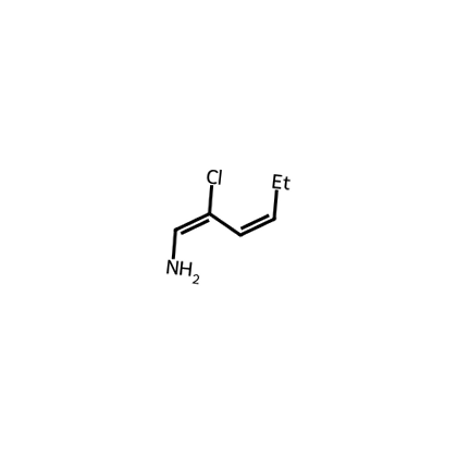 CC/C=C\C(Cl)=C/N